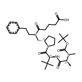 C[C@@H](C(=O)N[C@H](C(=O)N1CCC[C@H]1CN(CCc1ccccc1)C(=O)CCCC(=O)O)C(C)(C)C)N(C)C(=O)OC(C)(C)C